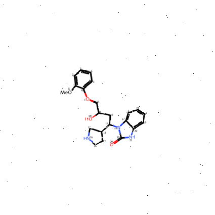 COc1ccccc1OCC(O)CC(C1CCNC1)n1c(=O)[nH]c2ccccc21